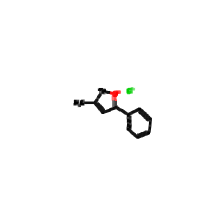 Cc1cc(-c2ccccc2)[o+][te]1.[Cl-]